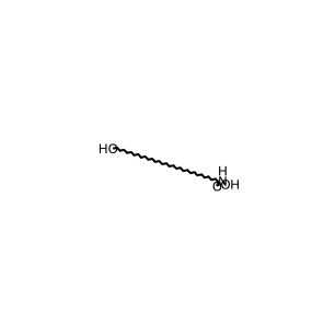 O=C(CCCCCCCCCCCCCCCCCCCCCCCCCCCCCO)NO